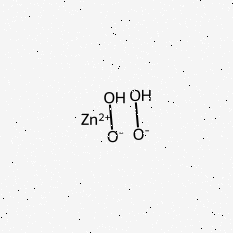 [O-]O.[O-]O.[Zn+2]